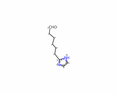 O=[C]CCCCCc1ncc[nH]1